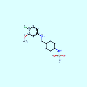 CC(C)S(=O)(=O)NC1CCC(CNc2ccc(F)c(OC(F)(F)F)c2)CC1